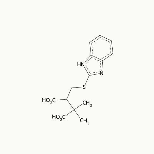 CC(C)(C(=O)O)C(CSc1nc2ccccc2[nH]1)C(=O)O